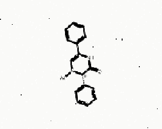 CC(=O)N1C=C(c2ccccc2)NC(=O)[C@@H]1c1ccccc1